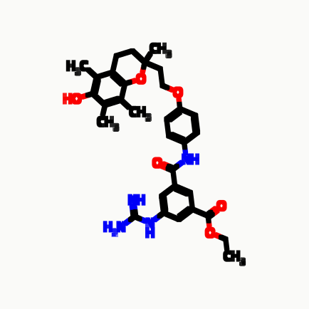 CCOC(=O)c1cc(NC(=N)N)cc(C(=O)Nc2ccc(OCCC3(C)CCc4c(C)c(O)c(C)c(C)c4O3)cc2)c1